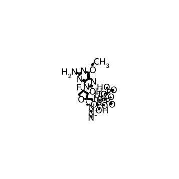 CCOc1nc(N)nc2c1ncn2[C@]1(F)CO[C@](CN=[N+]=[N-])(COP(=O)(O)OP(=O)(O)OP(=O)(O)O)[C@H]1O